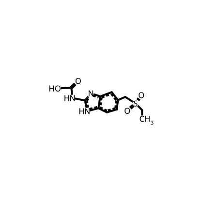 CCS(=O)(=O)Cc1ccc2[nH]c(NC(=O)O)nc2c1